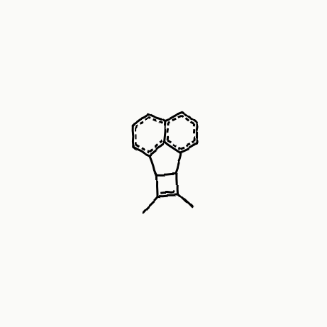 CC1=C(C)C2c3cccc4cccc(c34)C12